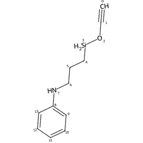 C#CO[SiH2]CCCNc1ccccc1